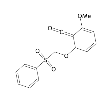 COC1=CC=CC(OCS(=O)(=O)c2ccccc2)C1=C=O